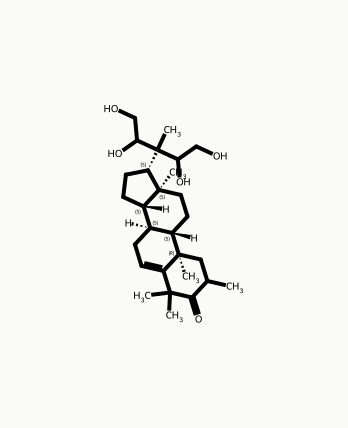 CC1C[C@@]2(C)C(=CC[C@H]3[C@@H]4CC[C@H](C(C)(C(O)CO)C(O)CO)[C@@]4(C)CC[C@@H]32)C(C)(C)C1=O